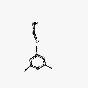 Cc1cc(C)cc(C)c1.N=C=O